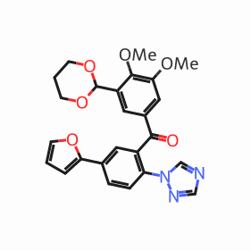 COc1cc(C(=O)c2cc(-c3ccco3)ccc2-n2cncn2)cc(C2OCCCO2)c1OC